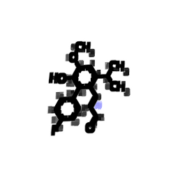 COc1cc(C(C)C)c(/C=C/C=O)c(-c2ccc(F)cc2)c1O